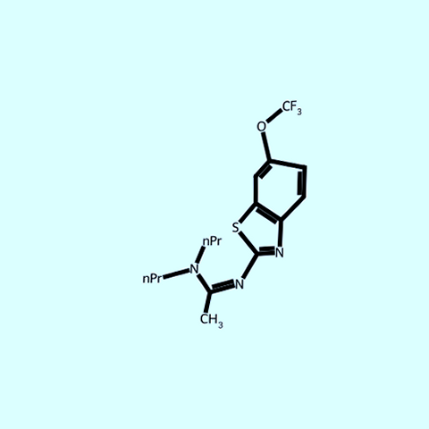 CCCN(CCC)C(C)=Nc1nc2ccc(OC(F)(F)F)cc2s1